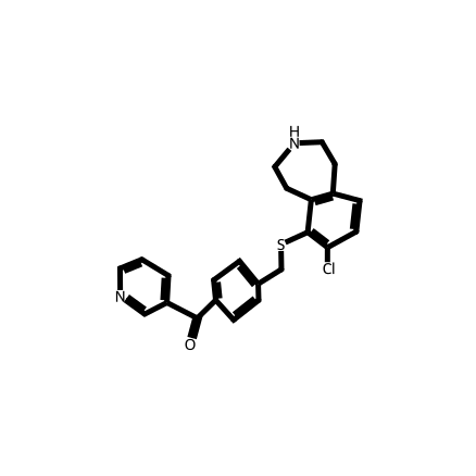 O=C(c1ccc(CSc2c(Cl)ccc3c2CCNCC3)cc1)c1cccnc1